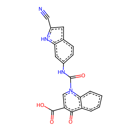 N#Cc1cc2ccc(NC(=O)n3cc(C(=O)O)c(=O)c4ccccc43)cc2[nH]1